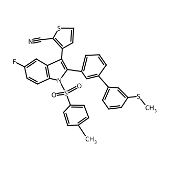 CSc1cccc(-c2cccc(-c3c(-c4ccsc4C#N)c4cc(F)ccc4n3S(=O)(=O)c3ccc(C)cc3)c2)c1